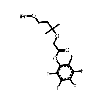 CC(C)OCCC(C)(C)OCC(=O)Oc1c(F)c(F)c(F)c(F)c1F